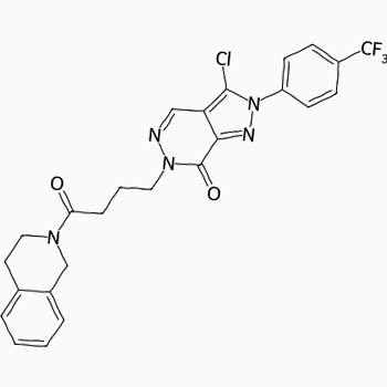 O=C(CCCn1ncc2c(Cl)n(-c3ccc(C(F)(F)F)cc3)nc2c1=O)N1CCc2ccccc2C1